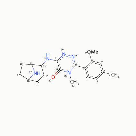 COc1cc(C(F)(F)F)ccc1-c1nnc(NC2CCC3CCC2N3)c(=O)n1C